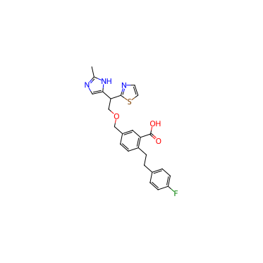 Cc1ncc(C(COCc2ccc(CCc3ccc(F)cc3)c(C(=O)O)c2)c2nccs2)[nH]1